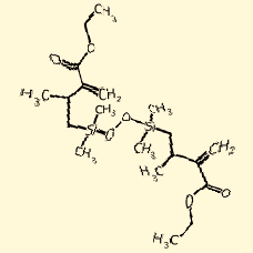 C=C(C(=O)OCC)C(C)C[Si](C)(C)OO[Si](C)(C)CC(C)C(=C)C(=O)OCC